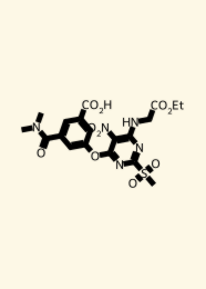 CCOC(=O)CNc1nc(S(C)(=O)=O)nc(Oc2cc(C(=O)O)cc(C(=O)N(C)C)c2)c1[N+](=O)[O-]